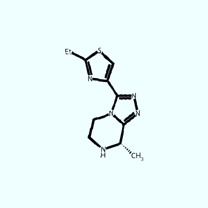 CCc1nc(-c2nnc3n2CCN[C@H]3C)cs1